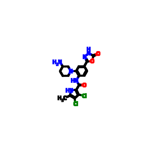 Cc1[nH]c(C(=O)Nc2ccc(-c3n[nH]c(=O)o3)cc2N2CCCC(N)C2)c(Cl)c1Cl